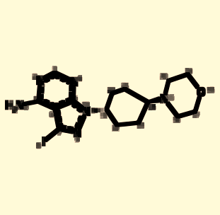 Nc1ncnc2c1c(I)nn2[C@H]1CC[C@H](N2CCOCC2)CC1